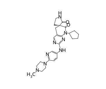 CN1CCN(c2ccc(Nc3ncc4c(n3)N(C3CCCC3)C(=O)[C@]3(CCNC3=O)C4)cn2)CC1